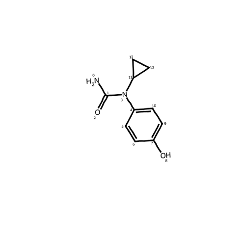 NC(=O)N(c1ccc(O)cc1)C1CC1